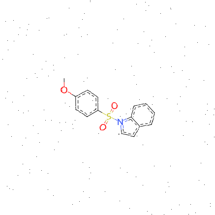 COc1ccc(S(=O)(=O)n2[c]cc3ccccc32)cc1